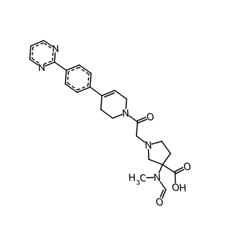 CN(C=O)C1(C(=O)O)CCN(CC(=O)N2CC=C(c3ccc(-c4ncccn4)cc3)CC2)C1